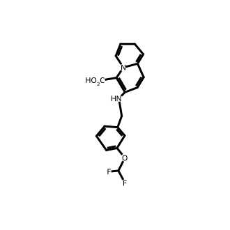 O=C(O)C1=C(NCc2cccc(OC(F)F)c2)C=CC2=CCC=CN21